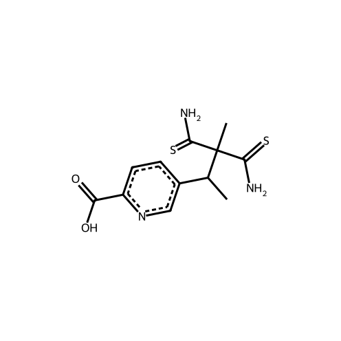 CC(c1ccc(C(=O)O)nc1)C(C)(C(N)=S)C(N)=S